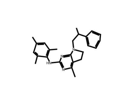 Cc1cc(C)c(Nc2nc(C)c3c(n2)N(CC(C)c2ccccc2)CC3)c(C)c1